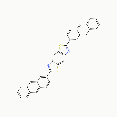 c1ccc2cc3cc(-c4nc5cc6sc(-c7ccc8cc9ccccc9cc8c7)nc6cc5s4)ccc3cc2c1